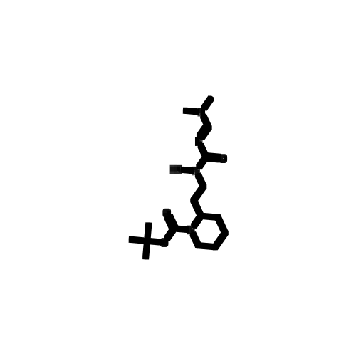 CN(C)C=NC(=O)N(S)CCC1CCCCN1C(=O)OC(C)(C)C